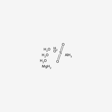 O.O.O.O.[AlH3].[MgH2].[O]=[Ti]=[O]